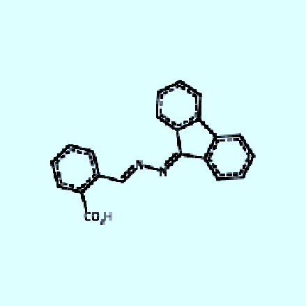 O=C(O)c1ccccc1C=NN=C1c2ccccc2-c2ccccc21